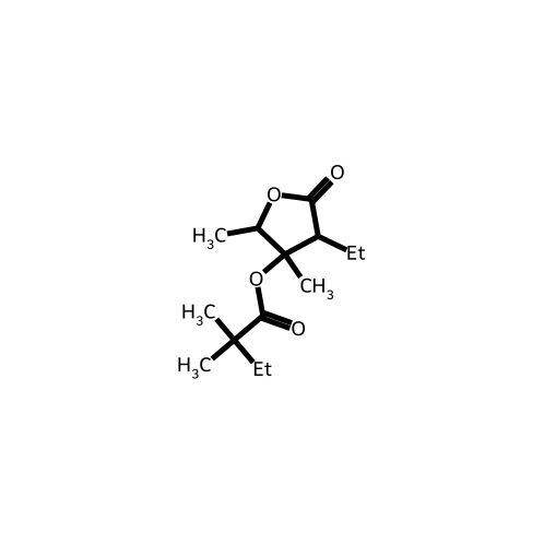 CCC1C(=O)OC(C)C1(C)OC(=O)C(C)(C)CC